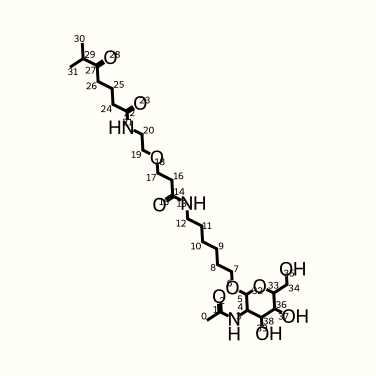 CC(=O)NC1C(OCCCCCCNC(=O)CCOCCNC(=O)CCCC(=O)C(C)C)OC(CO)C(O)C1O